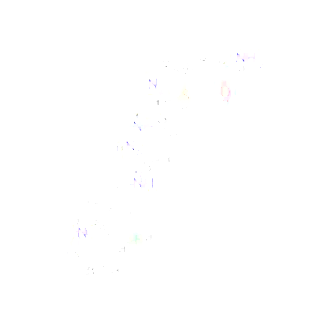 CC(C)(CNc1ccc(-c2ncc(CC(N)=O)s2)nn1)c1ncccc1F